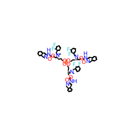 CN(Cc1cccc(F)c1F)[C@@H](CCCOP(=O)(OCCC[C@@H](COC(=O)Nc1cc2ccccc2cn1)N(C)Cc1cccc(F)c1F)OCCC[C@@H](COC(=O)Nc1cc2ccccc2cn1)N(C)Cc1cccc(F)c1F)COC(=O)Nc1cc2ccccc2cn1